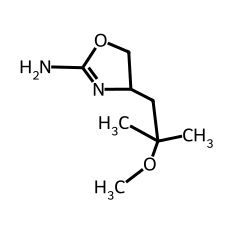 COC(C)(C)CC1COC(N)=N1